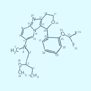 CCC(CN(C)c1ccc2nc3c(n2c1)C(c1ccccc1OC(F)F)OCC3)OC